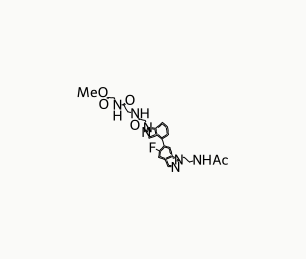 COC(=O)CNC(=O)CNC(=O)Cn1ncc2c(-c3cc4c(cnn4CCNC(C)=O)cc3F)cccc21